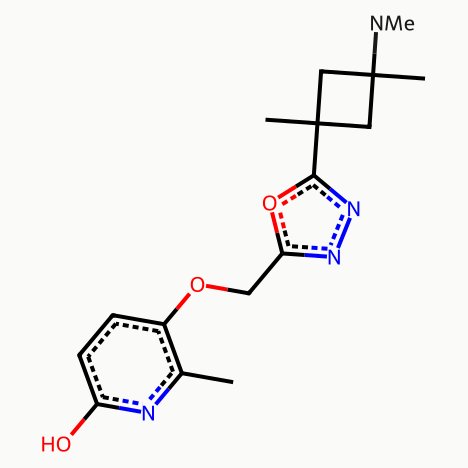 CNC1(C)CC(C)(c2nnc(COc3ccc(O)nc3C)o2)C1